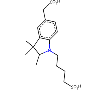 CC1N(CCCCS(=O)(=O)O)c2ccc(CC(=O)O)cc2C1(C)C